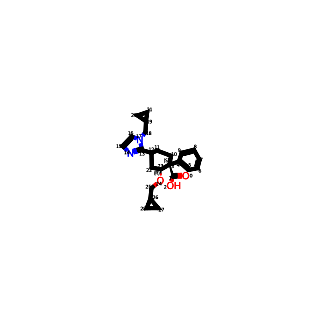 O=C(O)[C@]1(c2ccccc2)CCC(c2nccn2CC2CC2)C[C@H]1OCC1CC1